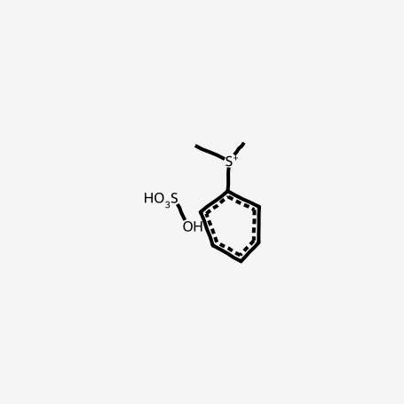 C[S+](C)c1ccccc1.O=S(=O)(O)O